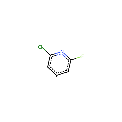 Fc1c[c]cc(Cl)n1